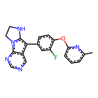 Cc1cccc(Oc2ccc(-c3c4n(c5ncncc35)CCN4)cc2F)n1